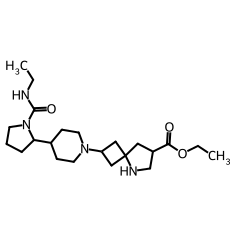 CCNC(=O)N1CCCC1C1CCN(C2CC3(CC(C(=O)OCC)CN3)C2)CC1